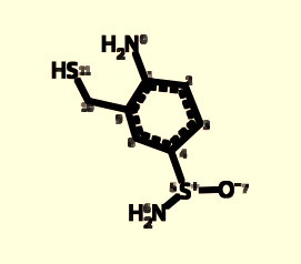 Nc1ccc([S+](N)[O-])cc1CS